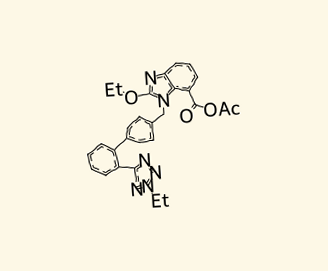 CCOc1nc2cccc(C(=O)OC(C)=O)c2n1Cc1ccc(-c2ccccc2-c2nnn(CC)n2)cc1